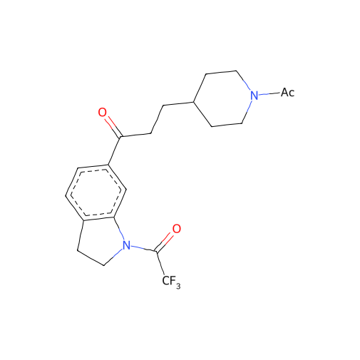 CC(=O)N1CCC(CCC(=O)c2ccc3c(c2)N(C(=O)C(F)(F)F)CC3)CC1